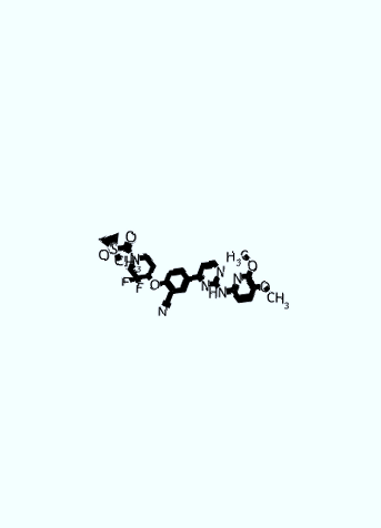 COc1ccc(Nc2nccc(-c3ccc(OC4CCN(C(=O)S5(C)(=O)C=C5)CC4(F)F)c(C#N)c3)n2)nc1OC